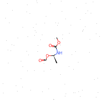 COC(=O)N[C@@H](C)OC=O